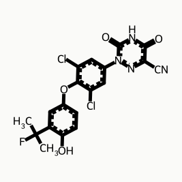 CC(C)(F)c1cc(Oc2c(Cl)cc(-n3nc(C#N)c(=O)[nH]c3=O)cc2Cl)ccc1O